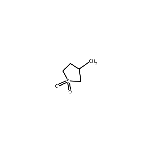 [CH2]C1CCS(=O)(=O)C1